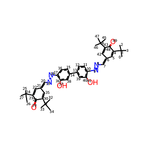 CC(C)(C)C1=CC(=C/N=N/c2ccc(-c3ccc(/N=N/C=C4C=C(C(C)(C)C)C(=O)C(C(C)(C)C)=C4)c(O)c3)cc2O)C=C(C(C)(C)C)C1=O